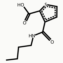 CCCCNC(=O)c1ccsc1C(=O)O